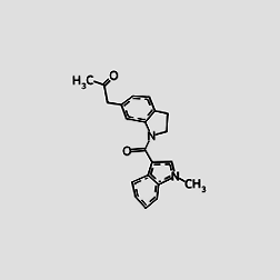 CC(=O)Cc1ccc2c(c1)N(C(=O)c1cn(C)c3ccccc13)CC2